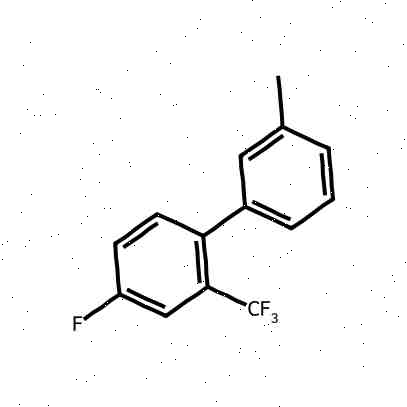 Cc1cccc(-c2ccc(F)cc2C(F)(F)F)c1